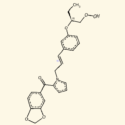 CC[C@@H](COO)Oc1cccc(/C=C/Cn2cccc2C(=O)c2ccc3c(c2)OCO3)c1